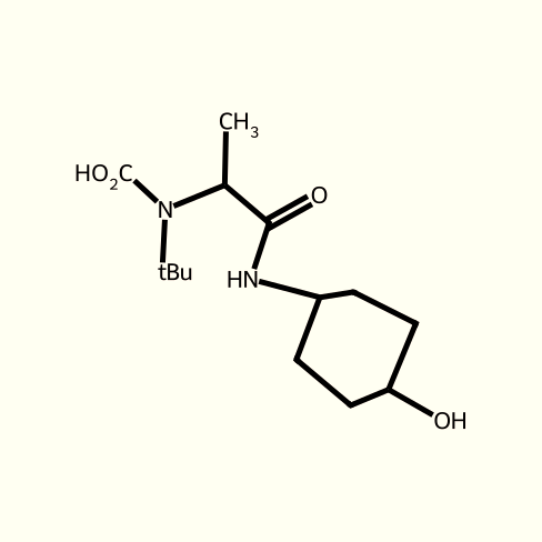 CC(C(=O)NC1CCC(O)CC1)N(C(=O)O)C(C)(C)C